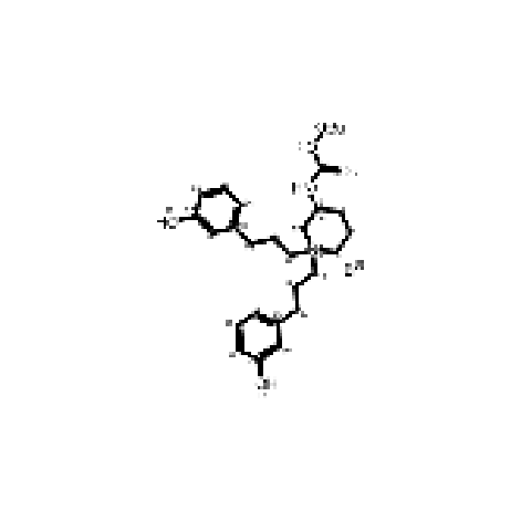 CC(C)(C)OC(=O)N[C@H]1CCC[N+](CCCc2cccc(O)c2)(CCCc2cccc(O)c2)C1.[Br-]